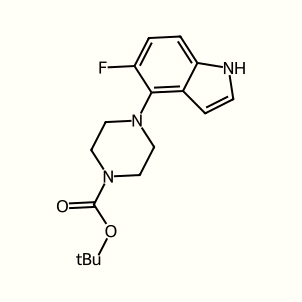 CC(C)(C)OC(=O)N1CCN(c2c(F)ccc3[nH]ccc23)CC1